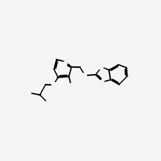 Cc1c(OCC(C)C)ccnc1CSc1nc2ccccc2[nH]1